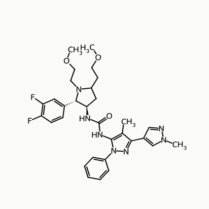 COCCC1C[C@@H](NC(=O)Nc2c(C)c(-c3cnn(C)c3)nn2-c2ccccc2)[C@H](c2ccc(F)c(F)c2)N1CCOC